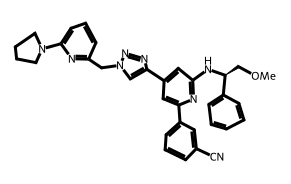 COC[C@H](Nc1cc(-c2cn(Cc3cccc(N4CCCC4)n3)nn2)cc(-c2cccc(C#N)c2)n1)c1ccccc1